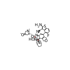 CO[C@@H]1C[C@@H](COc2nc(N3C4CCC3CN(CC(C)O)C4)c3c4c(c(-c5c(F)ccc6sc(N)c(C#N)c56)c(F)c3n2)COC4)N(C)C1